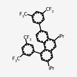 CC(C)c1cc(-c2cc(C(F)(F)F)cc(C(F)(F)F)c2)c2c(c1)cc(C(C)C)c1cc(-c3cc(C(F)(F)F)cc(C(F)(F)F)c3)ccc12